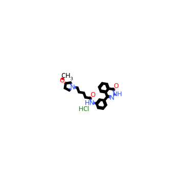 COC1CCN(CCCCC(=O)Nc2cccc(-c3n[nH]c(=O)c4ccccc34)c2)C1.Cl